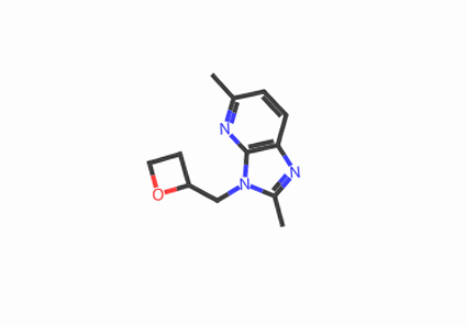 Cc1ccc2nc(C)n(CC3CCO3)c2n1